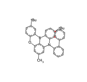 Cc1cc2c3c(c1)N(c1ccccc1-c1ccccc1)c1cc(C(C)(C)C)ccc1B3c1cc(C(C)(C)C)ccc1O2